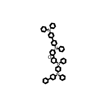 C1=C(c2ccccc2)CCC(N(c2ccccc2)c2ccc(N(C3=Cc4c(oc5ccc(N(c6ccccc6)c6ccc(-c7ccc(N(c8ccccc8)c8ccccc8)cc7)cc6)cc45)CC3)c3ccccc3)cc2)=C1